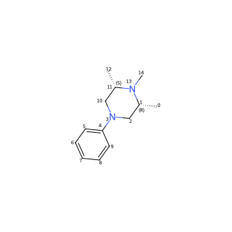 C[C@@H]1CN(c2ccccc2)C[C@H](C)N1C